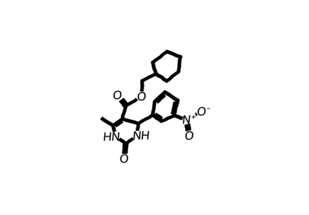 CC1=C(C(=O)OCC2CCCCC2)C(c2cccc([N+](=O)[O-])c2)NC(=O)N1